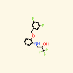 OC(CNc1ccccc1OCc1cc(F)cc(F)c1)C(F)(F)F